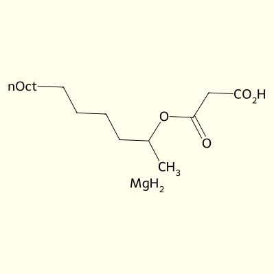 CCCCCCCCCCCCC(C)OC(=O)CC(=O)O.[MgH2]